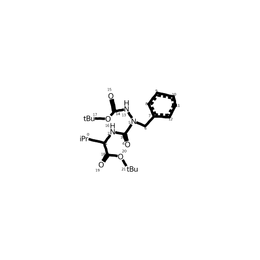 CC(C)C(NC(=O)N(Cc1ccccc1)NC(=O)OC(C)(C)C)C(=O)OC(C)(C)C